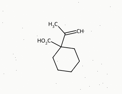 [CH]=C(C)C1(C(=O)O)CCCCC1